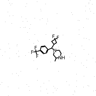 CC1CN(C(c2ccc(C(F)(F)F)cc2)C2CC(F)(F)C2)CCN1